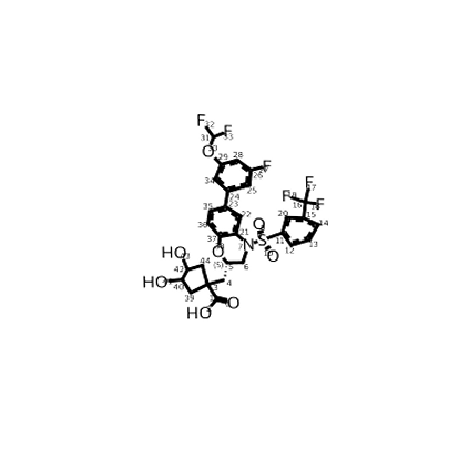 O=C(O)C1(C[C@H]2CN(S(=O)(=O)c3cccc(C(F)(F)F)c3)c3cc(-c4cc(F)cc(OC(F)F)c4)ccc3O2)CC(O)C(O)C1